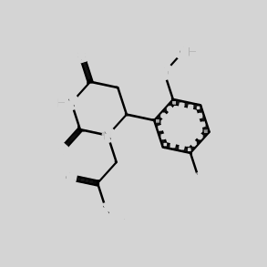 COc1ccc(F)cc1C1CC(=O)NC(=S)N1CC(N)=O